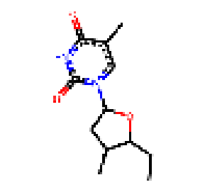 CCC1OC(n2cc(C)c(=O)[nH]c2=O)CC1C